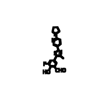 Cc1nc(-c2ccc(N3CCCC3)nc2)sc1-c1cc(F)c(O)c(C=O)c1